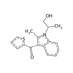 Cc1c(C(=O)c2cccs2)c2ccccc2n1C(C)CO